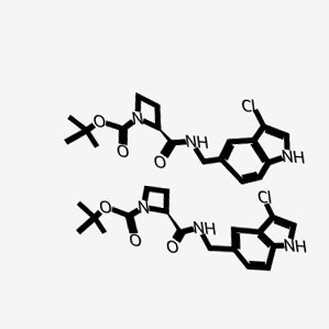 CC(C)(C)OC(=O)N1CC[C@H]1C(=O)NCc1ccc2[nH]cc(Cl)c2c1.CC(C)(C)OC(=O)N1CC[C@H]1C(=O)NCc1ccc2[nH]cc(Cl)c2c1